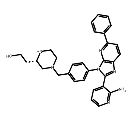 Nc1ncccc1-c1nc2ccc(-c3ccccc3)nc2n1-c1ccc(CN2CCN[C@@H](CCO)C2)cc1